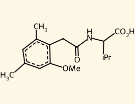 COc1cc(C)cc(C)c1CC(=O)NC(C(=O)O)C(C)C